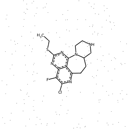 CCSc1nc2c3c(nc(Cl)c(F)c3n1)CCC1CNCCN21